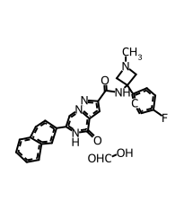 CN1CC(NC(=O)c2cc3c(=O)[nH]c(-c4ccc5ccccc5c4)cn3n2)(c2ccc(F)cc2)C1.O=CO